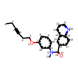 CCC#CCCOc1cccc(N(C)C(=O)c2ccc3ncccc3c2)c1